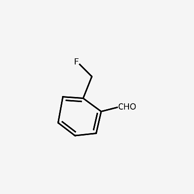 O=Cc1ccccc1CF